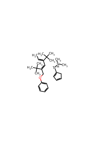 CC=C(C=C(COc1ccccc1)C(C)(C)C)C(C)(C)C.C[SiH](C)[Ti][C]1=CC=CC1